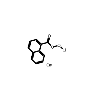 O=C(OOCl)c1cccc2ccccc12.[Ca]